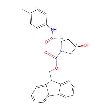 Cc1ccc(NC(=O)[C@@H]2C[C@@H](O)CN2C(=O)OCC2c3ccccc3-c3ccccc32)cc1